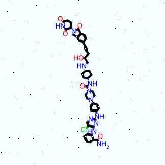 NC(=O)c1ccccc1Nc1nc(Nc2ccc(N3CCN(C(=O)N[C@H]4CC[C@@H](NCC(O)CC#Cc5ccc6c(c5)CN(C5CCC(=O)NC5=O)C6=O)CC4)CC3)cc2)ncc1Cl